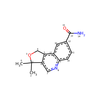 CC1(C)OCc2c1cnc1ccc(C(N)=O)cc21